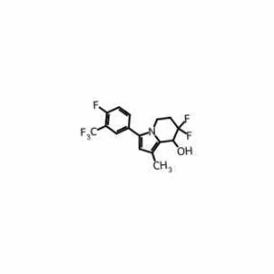 Cc1cc(-c2ccc(F)c(C(F)(F)F)c2)n2c1C(O)C(F)(F)CC2